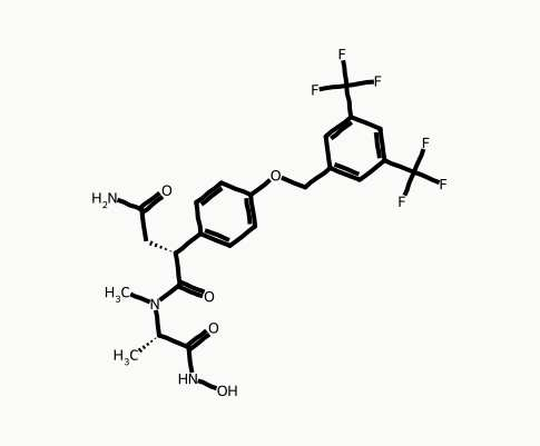 C[C@@H](C(=O)NO)N(C)C(=O)[C@H](CC(N)=O)c1ccc(OCc2cc(C(F)(F)F)cc(C(F)(F)F)c2)cc1